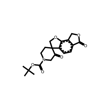 CC(C)(C)OC(=O)N1CCC2(COc3c2ccc2c3COC2=O)C(=O)C1